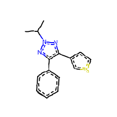 CC(C)n1nc(-c2ccccc2)c(-c2ccsc2)n1